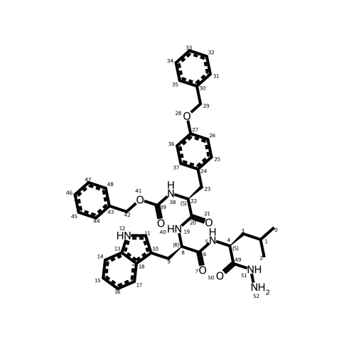 CC(C)C[C@H](NC(=O)[C@@H](Cc1c[nH]c2ccccc12)NC(=O)[C@H](Cc1ccc(OCc2ccccc2)cc1)NC(=O)OCc1ccccc1)C(=O)NN